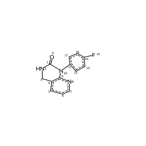 O=C1NCc2cccnc2N1c1ccc(F)cc1